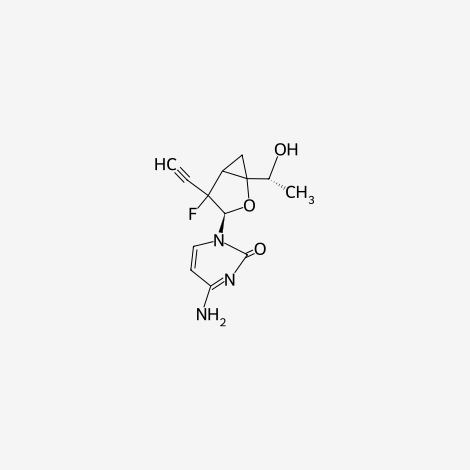 C#CC1(F)C2CC2([C@@H](C)O)O[C@H]1n1ccc(N)nc1=O